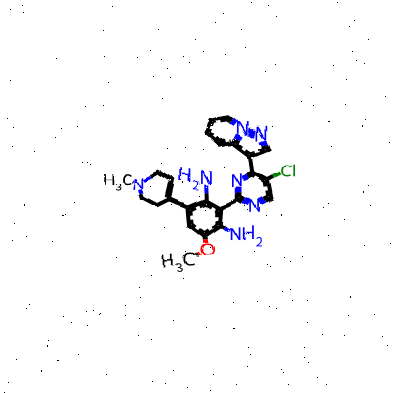 COc1cc(C2=CCN(C)CC2)c(N)c(-c2ncc(Cl)c(-c3cnn4ccccc34)n2)c1N